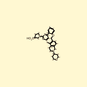 Cc1c(COc2ccccc2-c2ccnc(N3CCC(C(=O)O)C3)n2)ccc2c1CCN(C1CCOCC1)C2